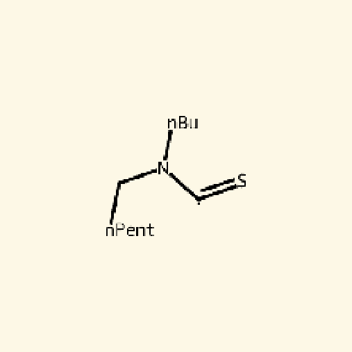 CCCCCCN([C]=S)CCCC